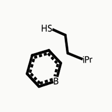 CC(C)CCS.b1ccccc1